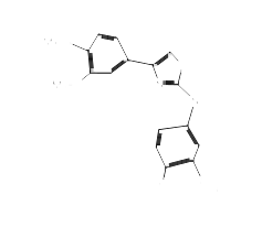 COc1ccc(-c2csc(Nc3ccc(Cl)c(C(F)(F)F)c3)n2)cc1OC